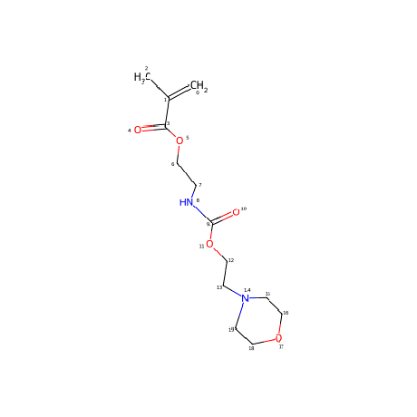 C=C(C)C(=O)OCCNC(=O)OCCN1CCOCC1